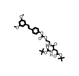 COc1cc(/C=C/c2ccc(OC(=O)OCCNC(=O)C(CC(=O)OC(C)(C)C)NC(=O)OC(C)(C)C)cc2)cc(OC)c1